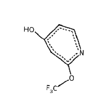 Oc1ccnc(OC(F)(F)F)c1